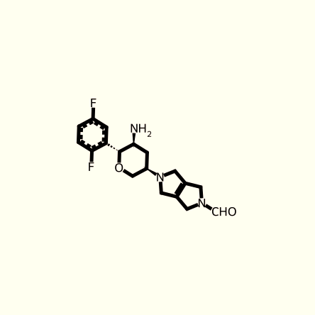 N[C@H]1C[C@@H](N2CC3=C(CN(C=O)C3)C2)CO[C@@H]1c1cc(F)ccc1F